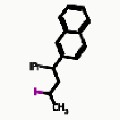 CC(I)CC(c1ccc2ccccc2c1)C(C)C